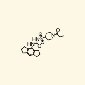 CCC(=O)N1CCC(S(=O)(=O)NC(=O)Nc2c3c(cc4c2CCC4)CCC3)CC1